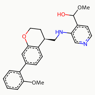 COc1ccccc1-c1ccc2c(c1)OCC[C@H]2CNc1cnccc1C(O)OC